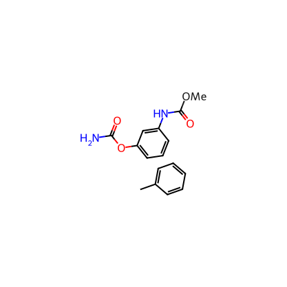 COC(=O)Nc1cccc(OC(N)=O)c1.Cc1ccccc1